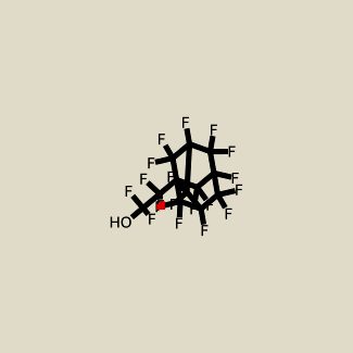 OC(F)(F)C(F)(F)C12C(F)(F)C3(F)C(F)(F)C(F)(C(F)(F)C(F)(C3(F)F)C1(F)F)C2(F)F